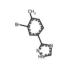 Cc1ccc(-c2nc[nH]n2)cc1Br